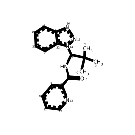 CC(C)(C)C(NC(=O)c1ccccn1)n1nnc2ccccc21